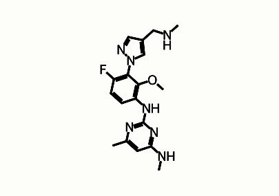 CNCc1cnn(-c2c(F)ccc(Nc3nc(C)cc(NC)n3)c2OC)c1